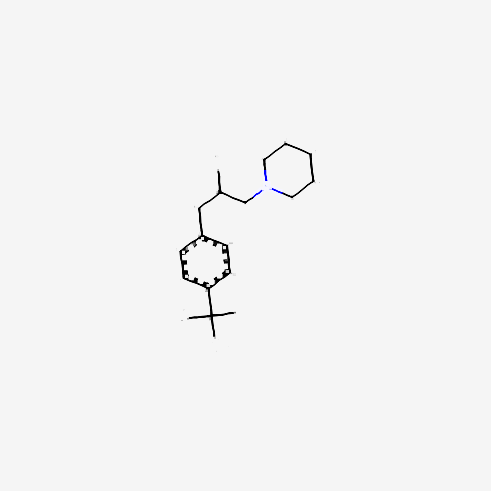 CCCCC(C)(C)c1ccc(CC(C)CN2CCCCC2)cc1